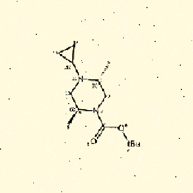 C[C@@H]1CN(C(=O)OC(C)(C)C)[C@@H](C)CN1C1CC1